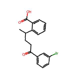 CC(CCC(=O)c1cccc(Br)c1)c1ccccc1C(=O)O